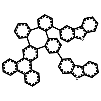 c1ccc2c(c1)-c1cc3c4ccccc4c4ccccc4c3cc1-c1cc(-c3ccc4oc5ccccc5c4c3)ccc1-c1c(-c3ccc4oc5ccccc5c4c3)cccc1-2